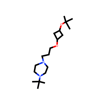 CC(C)(C)OC1CC(OCCCN2CCN(C(C)(C)C)CC2)C1